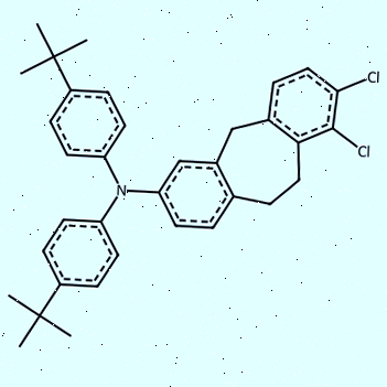 CC(C)(C)c1ccc(N(c2ccc(C(C)(C)C)cc2)c2ccc3c(c2)Cc2ccc(Cl)c(Cl)c2CC3)cc1